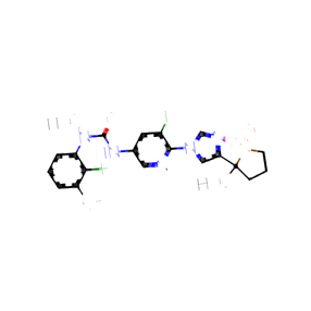 CN(C(=O)Nc1cnc(-n2cnc(C3(C)CCCS3(=O)=O)c2)c(F)c1)c1cccc(C(F)(F)F)c1F